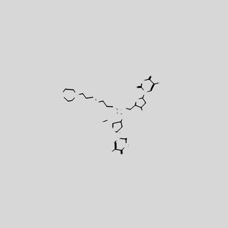 Cc1cn(C2CC(O)C(COP(=O)(OC3C[C@H](n4cc(C)c(=O)[nH]c4=O)O[C@@H]3CO)SCCSSCCN3CCOCC3)O2)c(=O)[nH]c1=O